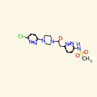 CS(=O)(=O)Nc1ccc(CC(=O)N2CCN(c3ccc(Cl)nn3)CC2)nn1